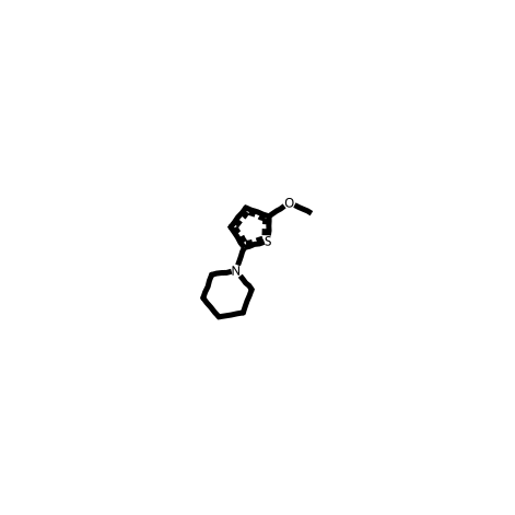 COc1ccc(N2CCCCC2)s1